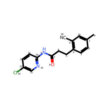 Cc1ccc(CCC(=O)Nc2ccc(Cl)cn2)c(C#N)c1